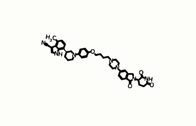 Cc1ccc([C@@H]2CCCN(c3ccc(OCCCCN4CCN(c5ccc6c(c5)CN(C5CCC(=O)NC5=O)C6=O)CC4)cc3)C2)c2[nH]cc(C#N)c12